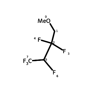 COCC(F)(F)C(F)C(F)(F)F